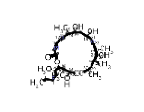 C=C/C=C\[C@H](C)[C@@H]1OC(=O)/C=C\C=C\[C@@H](C)[C@@H](O)C[C@H](O)/C=C\[C@H](C)[C@H](O)[C@@H](C)C[C@@H](C)CC[C@@H](O)[C@@H]1C